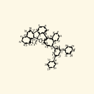 CC1(C)c2c(cccc2-c2ccc(-c3nc(-c4ccccc4)cc(-c4ccncc4)n3)c3ccccc23)-c2ccc3ccccc3c21